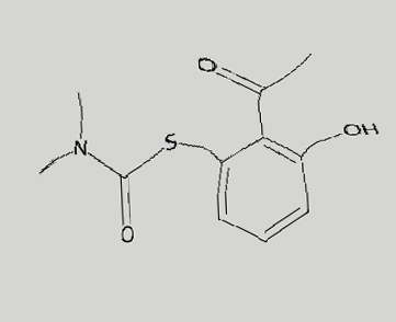 CC(=O)c1c(O)cccc1SC(=O)N(C)C